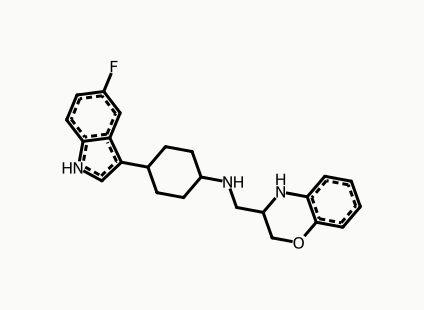 Fc1ccc2[nH]cc(C3CCC(NCC4COc5ccccc5N4)CC3)c2c1